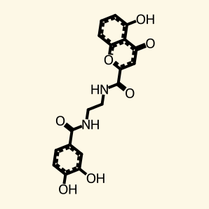 O=C(NCCNC(=O)c1cc(=O)c2c(O)cccc2o1)c1ccc(O)c(O)c1